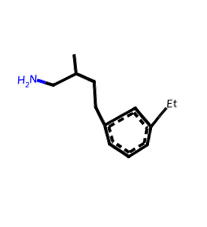 CCc1cccc(CCC(C)CN)c1